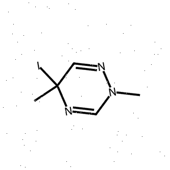 CN1C=NC(C)(I)C=N1